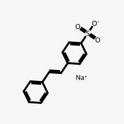 O=S(=O)([O-])c1ccc(C=Cc2ccccc2)cc1.[Na+]